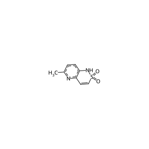 Cc1ccc2c(n1)C=CS(=O)(=O)N2